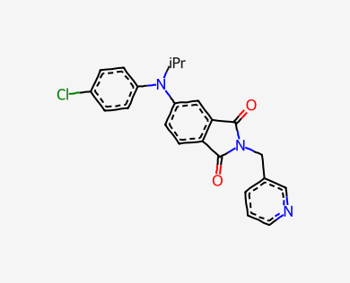 CC(C)N(c1ccc(Cl)cc1)c1ccc2c(c1)C(=O)N(Cc1cccnc1)C2=O